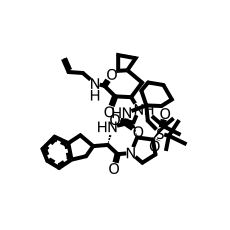 C=CCNC(=O)C(=O)C(CC1CCC1)NC(=O)[C@@H]1[C@@H](C(C)(C)C)CCN1C(=O)[C@@H](NC(=O)NC1(CS(=O)(=O)C(C)(C)C)CCCCC1)C1Cc2ccccc2C1